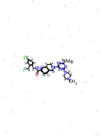 CNc1nc(N2CCN(C)CC2)nc(N2CCc3cc(C(=O)NCc4ccc(Cl)cc4CF)ccc3C2)n1